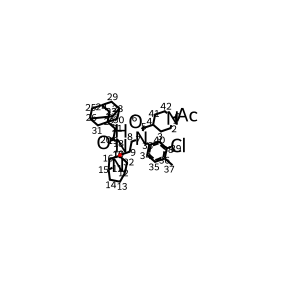 CC(=O)N1CCC(C(=O)N(CCCN2C3CCC2CC(NC(=O)CC24CC5CC(CC(C5)C2)C4)C3)c2ccc(C)c(Cl)c2)CC1